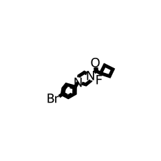 O=C(N1CCN(c2ccc(Br)cc2)CC1)C1(F)CCC1